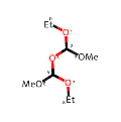 CCOC(OC)OC(OC)OCC